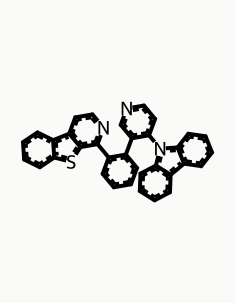 c1ccc(-c2nccc3c2sc2ccccc23)c(-c2cnccc2-n2c3ccccc3c3ccccc32)c1